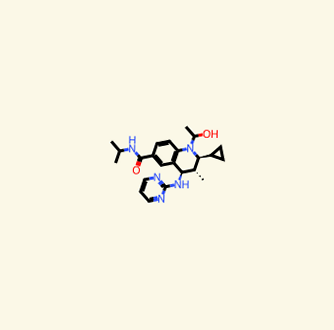 CC(C)NC(=O)c1ccc2c(c1)[C@H](Nc1ncccn1)[C@@H](C)[C@H](C1CC1)N2C(C)O